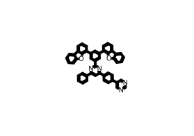 c1ccc(-c2cc(-c3ccc(-c4cncnc4)cc3)nc(-c3cc(-c4cccc5c4oc4ccccc45)cc(-c4cccc5c4oc4ccccc45)c3)n2)cc1